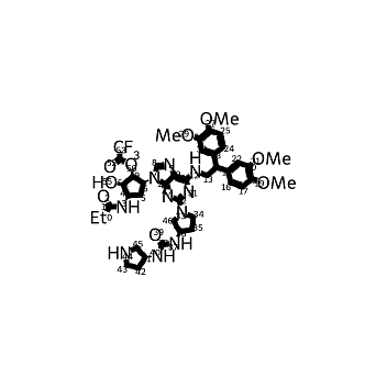 CCC(=O)N[C@H]1C[C@@H](n2cnc3c(NCC(c4ccc(OC)c(OC)c4)c4ccc(OC)c(OC)c4)nc(N4CC[C@@H](NC(=O)N[C@@H]5CCNC5)C4)nc32)[C@H](OC(=O)C(F)(F)F)[C@@H]1O